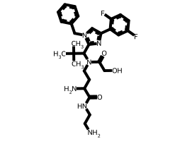 CC(C)(C)C(c1nc(-c2cc(F)ccc2F)cn1Cc1ccccc1)N(CCC(N)C(=O)NCCN)C(=O)CO